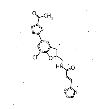 CC(=O)c1ccc(-c2cc(Cl)c3c(c2)CC(CNC(=O)C=Cc2nccs2)O3)s1